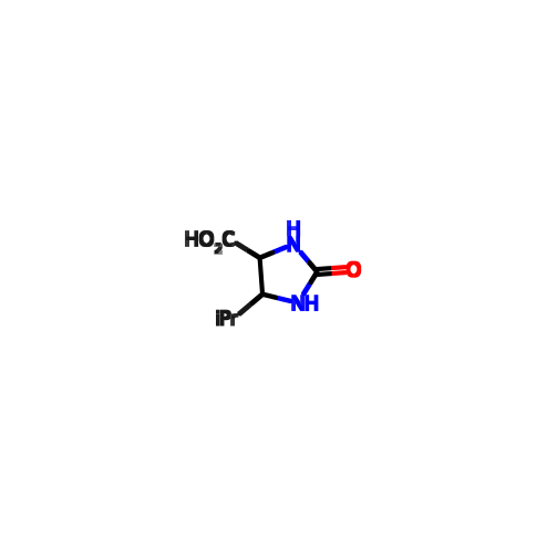 CC(C)C1NC(=O)NC1C(=O)O